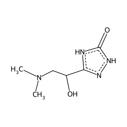 CN(C)CC(O)c1n[nH]c(=O)[nH]1